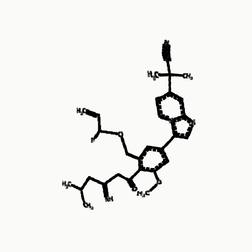 C=CC(F)OCc1cc(-c2cnc3cc(C(C)(C)C#N)ccn23)cc(OC)c1C(=O)CC(=N)CC(C)C